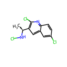 C[C@H](NCl)c1cc2cc(Cl)ccc2nc1Cl